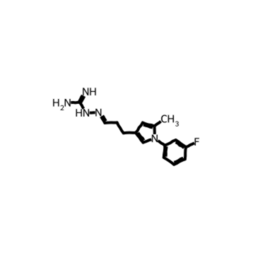 Cc1cc(CCC=NNC(=N)N)cn1-c1cccc(F)c1